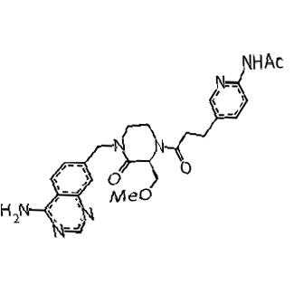 COC[C@H]1C(=O)N(Cc2ccc3c(N)ncnc3c2)CCN1C(=O)CCc1ccc(NC(C)=O)nc1